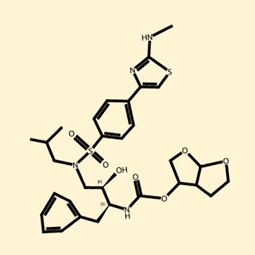 CNc1nc(-c2ccc(S(=O)(=O)N(CC(C)C)C[C@@H](O)[C@H](Cc3ccccc3)NC(=O)OC3COC4OCCC34)cc2)cs1